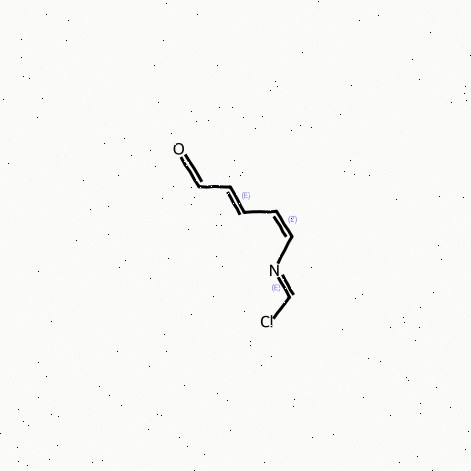 O=C/C=C/C=C\N=C\Cl